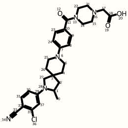 CC1CC2(CCN(c3ccc(C(=O)N4CCN(CC(=O)O)CC4)cc3)CC2)CN1c1ccc(C#N)c(Cl)c1